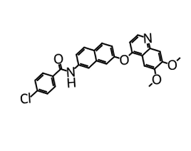 COc1cc2nccc(Oc3ccc4ccc(NC(=O)c5ccc(Cl)cc5)cc4c3)c2cc1OC